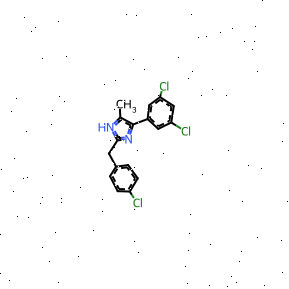 Cc1[nH]c(Cc2ccc(Cl)cc2)nc1-c1cc(Cl)cc(Cl)c1